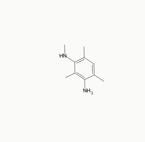 CNc1c(C)cc(C)c(N)c1C